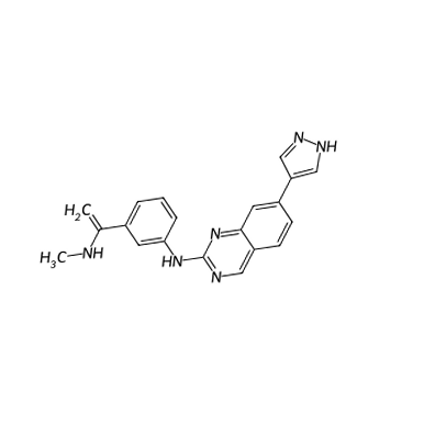 C=C(NC)c1cccc(Nc2ncc3ccc(-c4cn[nH]c4)cc3n2)c1